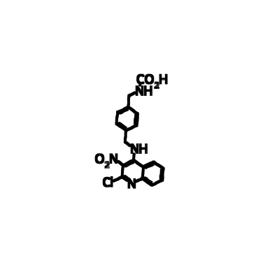 O=C(O)NCc1ccc(CNc2c([N+](=O)[O-])c(Cl)nc3ccccc23)cc1